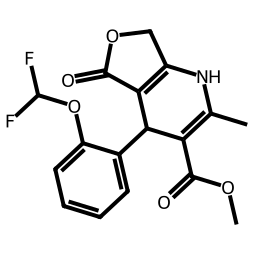 COC(=O)C1=C(C)NC2=C(C(=O)OC2)C1c1ccccc1OC(F)F